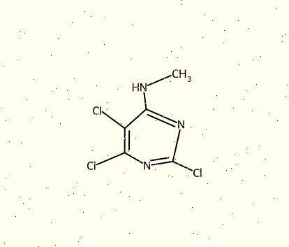 CNc1nc(Cl)nc(Cl)c1Cl